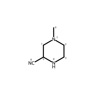 CN1CCNC(C#N)C1